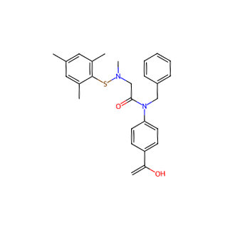 C=C(O)c1ccc(N(Cc2ccccc2)C(=O)CN(C)Sc2c(C)cc(C)cc2C)cc1